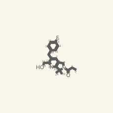 CCC(=O)N1Cc2cc(Cc3ccc(F)cc3)c(CO)nc2C1(C)C